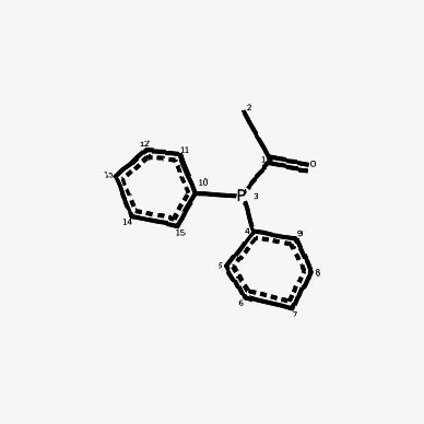 C=C(C)P(c1ccccc1)c1ccccc1